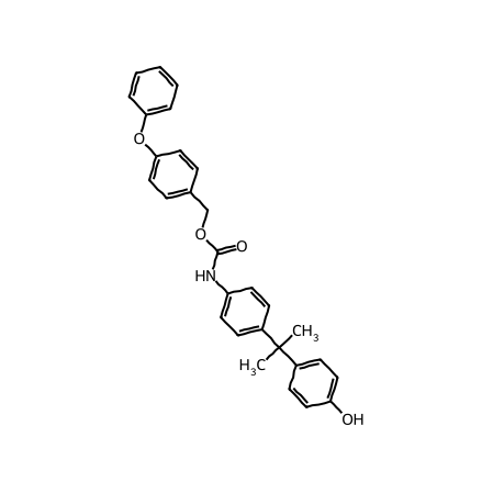 CC(C)(c1ccc(O)cc1)c1ccc(NC(=O)OCc2ccc(Oc3ccccc3)cc2)cc1